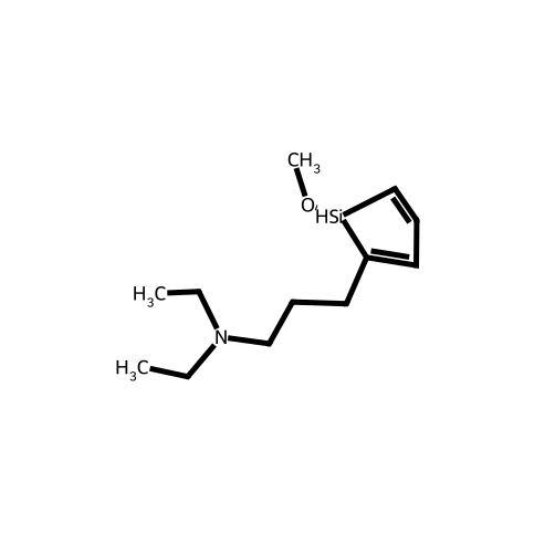 CCN(CC)CCCC1=CC=C[SiH]1OC